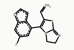 C=CC1=C(c2cc(F)cc3sccc23)N2CCN=C2S1